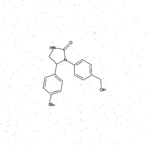 CC(C)(C)c1ccc(C2CNC(=O)N2c2ccc(CO)cc2)cc1